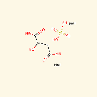 O=C(O)CC(O)C(=O)O.O=S(=O)(O)O.[NaH].[NaH]